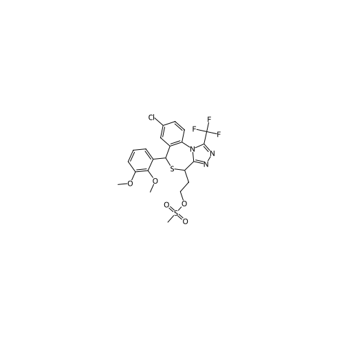 COc1cccc(C2SC(CCOS(C)(=O)=O)c3nnc(C(F)(F)F)n3-c3ccc(Cl)cc32)c1OC